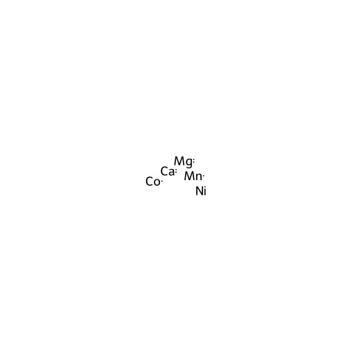 [Ca].[Co].[Mg].[Mn].[Ni]